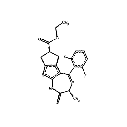 CCOC(=O)C1Cc2sc3c(c2C1)C(c1c(F)cccc1F)=N[C@@H](C)C(=S)N3